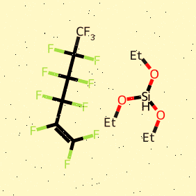 CCO[SiH](OCC)OCC.FC(F)=C(F)C(F)(F)C(F)(F)C(F)(F)C(F)(F)F